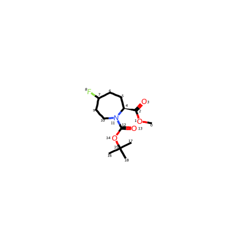 COC(=O)[C@@H]1CCC(F)CCN1C(=O)OC(C)(C)C